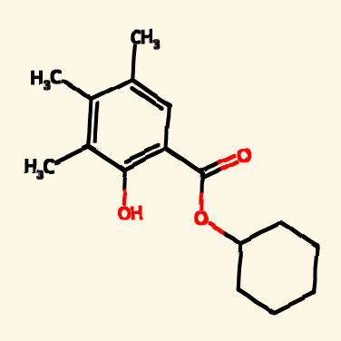 Cc1cc(C(=O)OC2CCCCC2)c(O)c(C)c1C